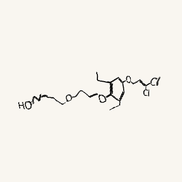 CCc1cc(OCC=C(Cl)Cl)cc(CC)c1OCCCCOCCC=NO